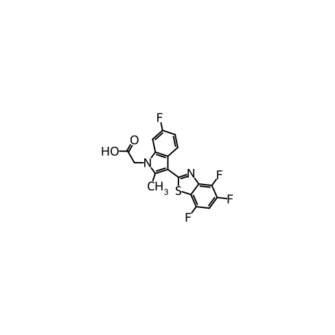 Cc1c(-c2nc3c(F)c(F)cc(F)c3s2)c2ccc(F)cc2n1CC(=O)O